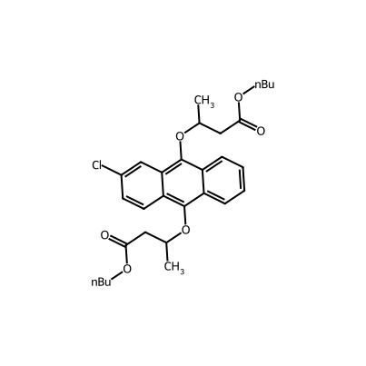 CCCCOC(=O)CC(C)Oc1c2ccccc2c(OC(C)CC(=O)OCCCC)c2cc(Cl)ccc12